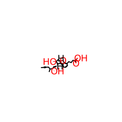 CC#CCC(C)[C@@H](O)/C=C/[C@H]1[C@@H]2c3cccc(CCCC(=O)O)c3O[C@@H]2C[C@@H]1O